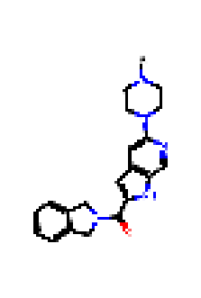 CC(C)N1CCN(c2cc3cc(C(=O)N4Cc5ccccc5C4)[nH]c3cn2)CC1